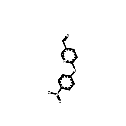 O=Cc1ccc(Sc2ccc([N+](=O)[O-])cc2)nc1